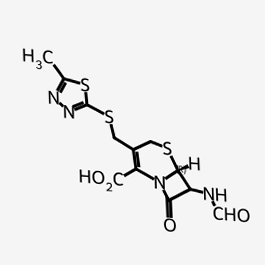 Cc1nnc(SCC2=C(C(=O)O)N3C(=O)C(NC=O)[C@H]3SC2)s1